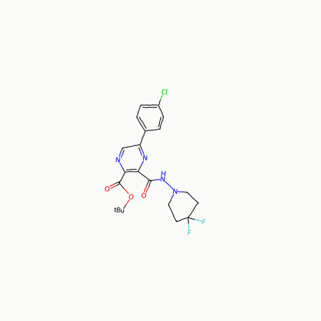 CC(C)(C)OC(=O)c1ncc(-c2ccc(Cl)cc2)nc1C(=O)NN1CCC(F)(F)CC1